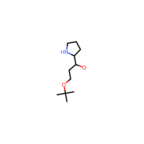 CC(C)(C)OCCC([O])C1CCCN1